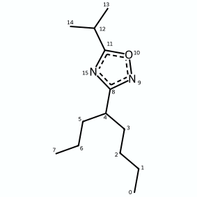 CCCCC(CCC)c1noc(C(C)C)n1